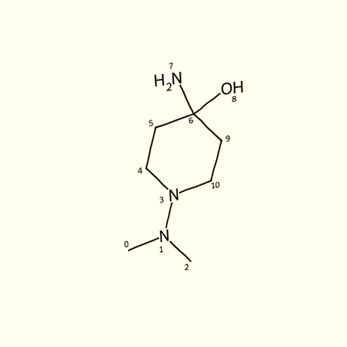 CN(C)N1CCC(N)(O)CC1